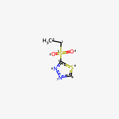 CCS(=O)(=O)c1nn[c]s1